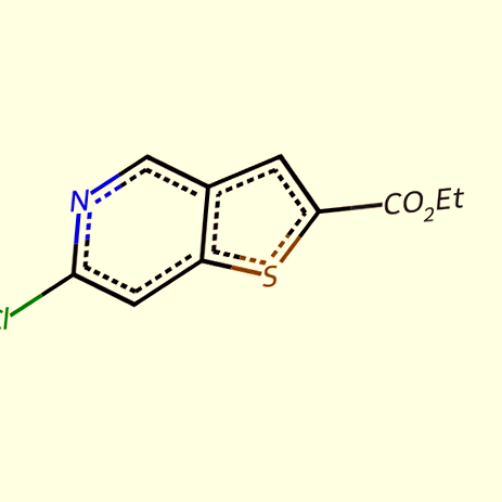 CCOC(=O)c1cc2cnc(Cl)cc2s1